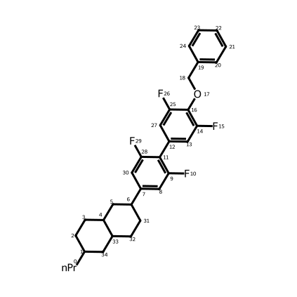 CCCC1CCC2CC(c3cc(F)c(-c4cc(F)c(OCc5ccccc5)c(F)c4)c(F)c3)CCC2C1